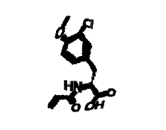 C=CC(=O)N[C@H](Cc1ccc(OC)c(Cl)c1)C(=O)O